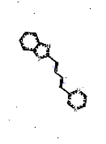 C(/C=C/c1nc2ccccc2s1)=C\c1cnccn1